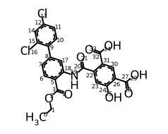 CCOC(=O)c1ccc(-c2ccc(Cl)cc2Cl)cc1NC(=O)c1cc(O)c(C(=O)O)cc1C(=O)O